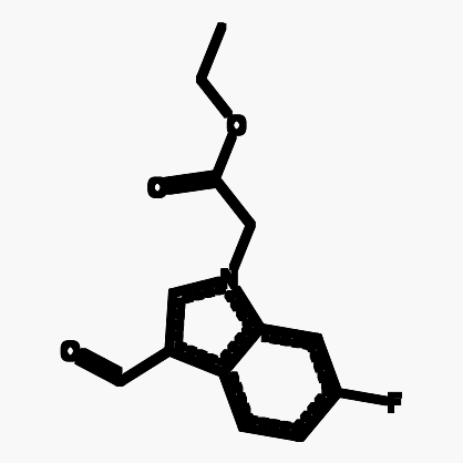 CCOC(=O)Cn1cc(C=O)c2ccc(F)cc21